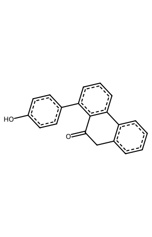 O=C1Cc2ccccc2-c2cccc(-c3ccc(O)cc3)c21